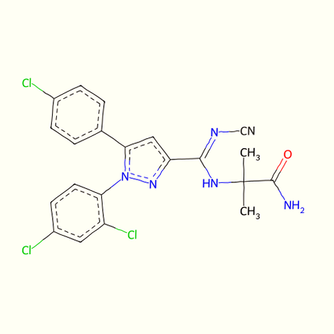 CC(C)(NC(=NC#N)c1cc(-c2ccc(Cl)cc2)n(-c2ccc(Cl)cc2Cl)n1)C(N)=O